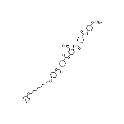 C=CC(=O)OCCCCCCCCOc1ccc(OC(=O)[C@H]2CC[C@H](C(=O)Oc3ccc(OC(=O)[C@H]4CC[C@H](C(=O)Oc5ccc(OCCCCCCCCC)cc5)CC4)c(C=O)c3)CC2)cc1